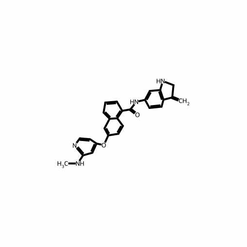 C=C1CNc2cc(NC(=O)c3cccc4cc(Oc5ccnc(NC)c5)ccc34)ccc21